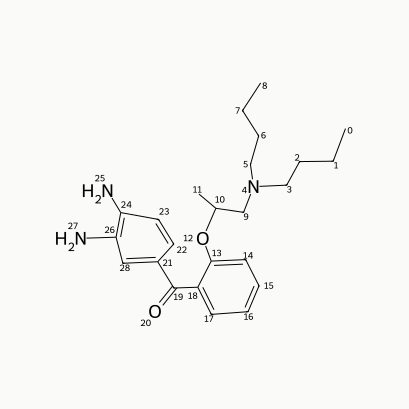 CCCCN(CCCC)CC(C)Oc1ccccc1C(=O)c1ccc(N)c(N)c1